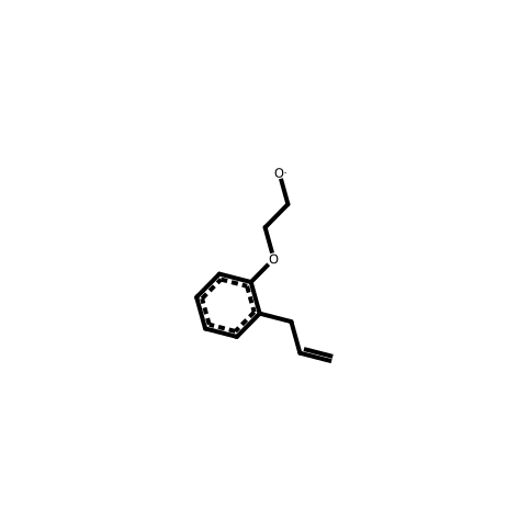 C=CCc1ccccc1OCC[O]